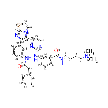 CN(C)CCCCNC(=O)c1cccc(Nc2nccc(-c3c(-c4cccc(NC(=O)Cc5ccccc5)c4)nc4sccn34)n2)c1